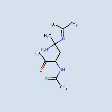 CC(=O)NC(CC(C)(N)N=C(C)C)C(C)=O